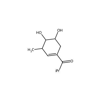 CC(C)C(=O)C1=CC(C)C(O)C(O)C1